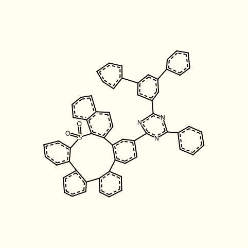 O=S1(=O)c2ccccc2-c2ccccc2-c2ccccc2-c2ccc(-c3nc(-c4ccccc4)nc(-c4cc(-c5ccccc5)cc(-c5ccccc5)c4)n3)cc2-c2ccc3ccccc3c21